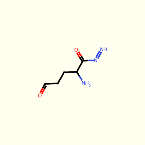 N=NC(=O)C(N)CCC=O